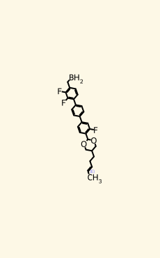 BCc1ccc(-c2ccc(-c3ccc(C4OCC(CC/C=C/C)CO4)c(F)c3)cc2)c(F)c1F